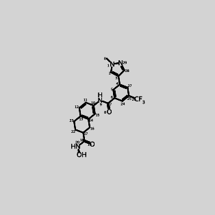 Cn1cc(-c2cc(C(=O)Nc3ccc4c(c3)CC(C(=O)NO)CC4)cc(C(F)(F)F)c2)cn1